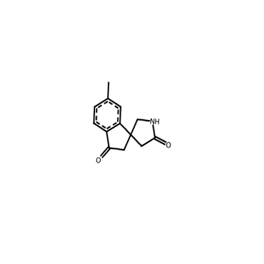 Cc1ccc2c(c1)C1(CNC(=O)C1)CC2=O